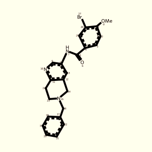 COc1ccc(C(=O)Nc2cnc3c(c2)CN(Cc2ccccc2)CC3)cc1Br